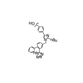 CCCCc1nc(-c2ccc(C(=O)O)cc2)cn1Cc1ccc(-c2ccccc2)c(-c2nnn[nH]2)c1